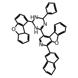 C1=CC2Oc3cccc(C4NC(c5cnc(-c6ccc7ccccc7c6)c6oc7ccccc7c56)=NC(c5ccccc5)N4)c3C2C=C1